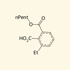 CCCCCOC(=O)c1cccc(CC)c1C(=O)O